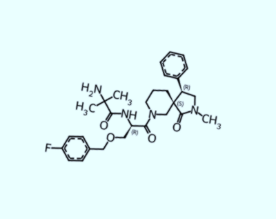 CN1C[C@H](c2ccccc2)[C@]2(CCCN(C(=O)[C@@H](COCc3ccc(F)cc3)NC(=O)C(C)(C)N)C2)C1=O